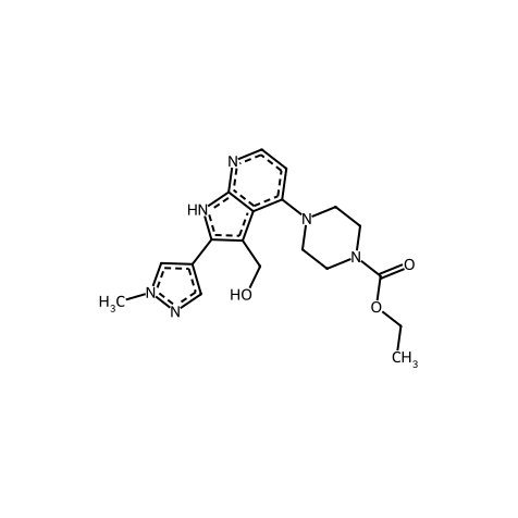 CCOC(=O)N1CCN(c2ccnc3[nH]c(-c4cnn(C)c4)c(CO)c23)CC1